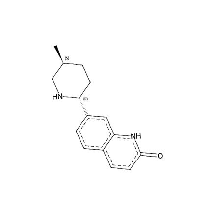 C[C@H]1CC[C@H](c2ccc3ccc(=O)[nH]c3c2)NC1